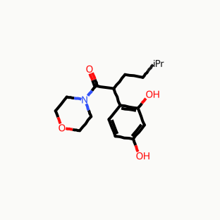 CC(C)CCC(C(=O)N1CCOCC1)c1ccc(O)cc1O